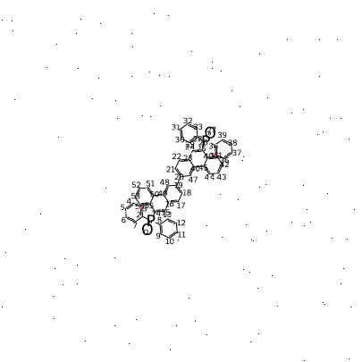 O=P(c1ccccc1)(c1ccccc1)c1cc2ccc(-c3ccc4cc(P(=O)(c5ccccc5)c5ccccc5)c5ccccc5c4c3)cc2c2ccccc12